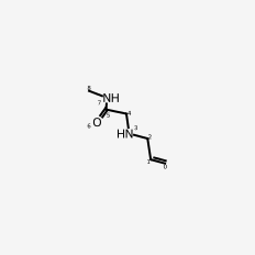 C=CCNCC(=O)NC